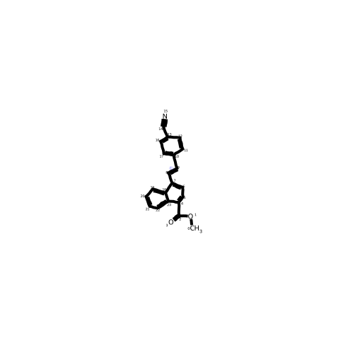 COC(=O)c1ccc(/C=C/c2ccc(C#N)cc2)c2ccccc12